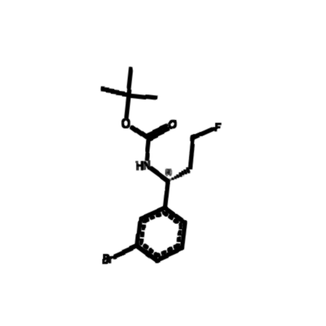 CC(C)(C)OC(=O)N[C@H](CCF)c1cccc(Br)c1